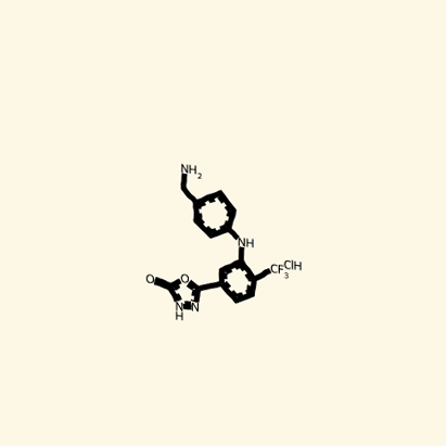 Cl.NCc1ccc(Nc2cc(-c3n[nH]c(=O)o3)ccc2C(F)(F)F)cc1